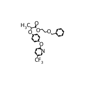 CC(Oc1ccc(Oc2ccc(C(F)(F)F)cn2)cc1)C(=O)OCCOCc1ccccc1